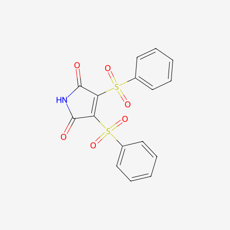 O=C1NC(=O)C(S(=O)(=O)c2ccccc2)=C1S(=O)(=O)c1ccccc1